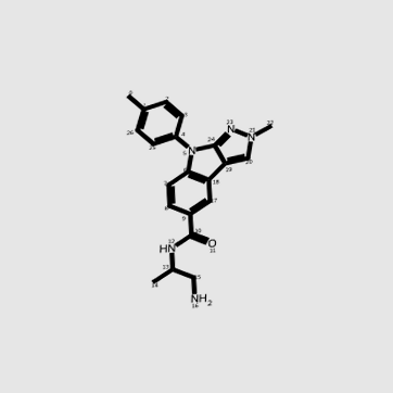 Cc1ccc(-n2c3ccc(C(=O)NC(C)CN)cc3c3cn(C)nc32)cc1